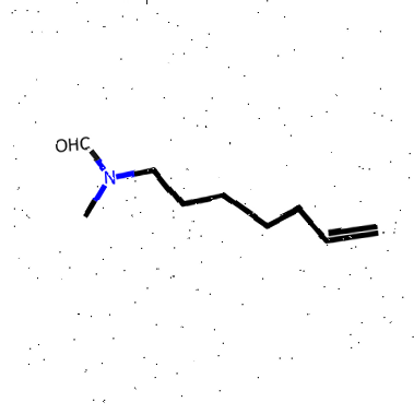 [CH]=CCCCCCN(C)C=O